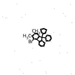 Cc1cc2c(c(Br)c1C)-c1ccccc1C2(c1ccccc1)c1ccccc1